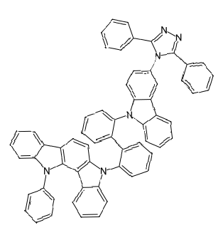 c1ccc(-c2nnc(-c3ccccc3)n2-c2ccc3c(c2)c2ccccc2n3-c2ccccc2-c2ccccc2-n2c3ccccc3c3c2ccc2c4ccccc4n(-c4ccccc4)c23)cc1